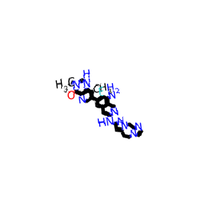 Cc1c(-c2cc3cc(Nc4cc5n(n4)Cc4nccn4CC5)ncc3c(N)c2F)cnc2c1NCN(C)C2=O